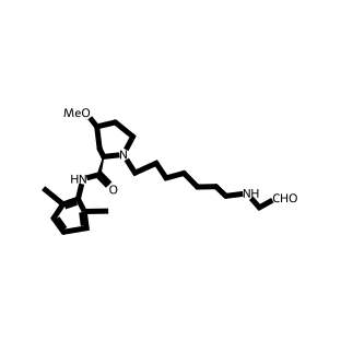 COC1CCN(CCCCCCCNCC=O)[C@@H](C(=O)Nc2c(C)cccc2C)C1